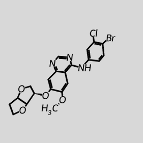 COc1cc2c(Nc3ccc(Br)c(Cl)c3)ncnc2cc1O[C@@H]1COC2CCOC21